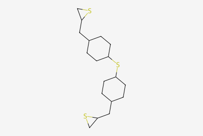 C1CC(SC2CCC(CC3CS3)CC2)CCC1CC1CS1